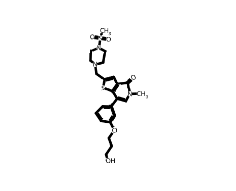 Cn1cc(-c2cccc(OCCCO)c2)c2sc(CN3CCN(S(C)(=O)=O)CC3)cc2c1=O